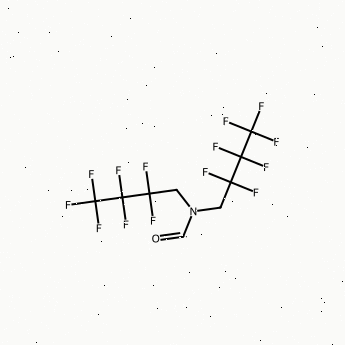 O=[C]N(CC(F)(F)C(F)(F)C(F)(F)F)CC(F)(F)C(F)(F)C(F)(F)F